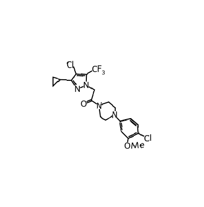 COc1cc(N2CCN(C(=O)Cn3nc(C4CC4)c(Cl)c3C(F)(F)F)CC2)ccc1Cl